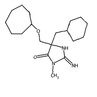 CN1C(=N)NC(COC2CCCCCC2)(CC2CCCCC2)C1=O